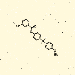 CC(C)(C)Oc1ccc(C(C)(C)c2ccc(OC(=O)c3cccc(Cl)c3)cc2)cc1